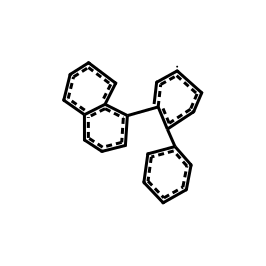 [c]1ccc(-c2ccccc2)c(-c2cccc3ccccc23)c1